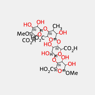 CO[C@@H]1O[C@@H](C(=O)O)[C@@H](O[C@@H]2OC(C(=O)O)[C@@H](O[C@@H]3OC(C(=O)O)[C@@H](O[C@@H]4OC(C(=O)O)[C@@H](OC)[C@@H](O)C4O)C(C)C3O)C(O)[C@H]2O)C(O)C1O